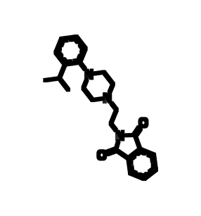 CC(C)c1ccccc1N1CCN(CCN2C(=O)c3ccccc3C2=O)CC1